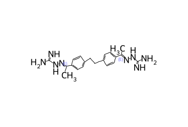 C/C(=N\NC(=N)N)c1ccc(CCc2ccc(/C(C)=N/NC(=N)N)cc2)cc1